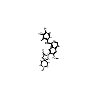 COc1cc2ncnc(Nc3ccc(Cl)c(Cl)c3C)c2cc1N1CC2(CCN(C)CC2)CC1=O